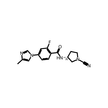 Cc1cn(-c2ccc(C(=O)N[C@@H]3CCN(C#N)C3)c(F)c2)cn1